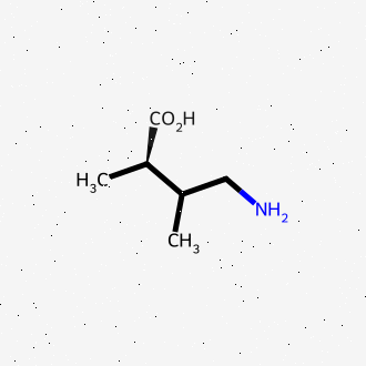 CC(CN)[C@@H](C)C(=O)O